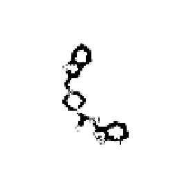 O=C(Nc1noc2ncccc12)N1CCN(Cc2cc3ccccc3o2)CC1